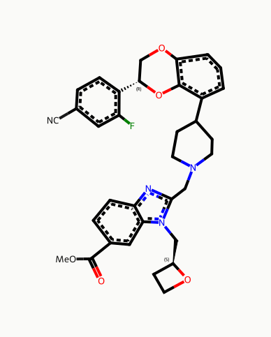 COC(=O)c1ccc2nc(CN3CCC(c4cccc5c4O[C@H](c4ccc(C#N)cc4F)CO5)CC3)n(C[C@@H]3CCO3)c2c1